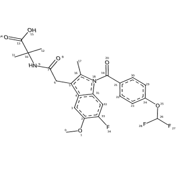 COc1cc2c(CC(=O)NC(C)(C)C(=O)O)c(C)n(C(=O)c3ccc(OC(F)F)cc3)c2cc1F